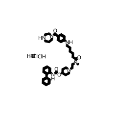 CN(CCN1CCC(OC(=O)Nc2ccccc2-c2ccccc2)CC1)C(=O)CCCCCNc1ccc(C(=O)N2CCCNCC2)cc1.Cl.Cl.Cl